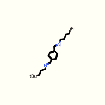 CC(C)CCCC/N=C/c1ccc(/C=N/CCCC(C)(C)C)cc1